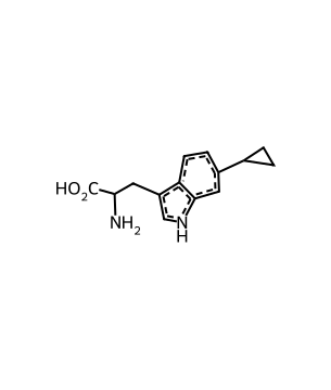 NC(Cc1c[nH]c2cc(C3CC3)ccc12)C(=O)O